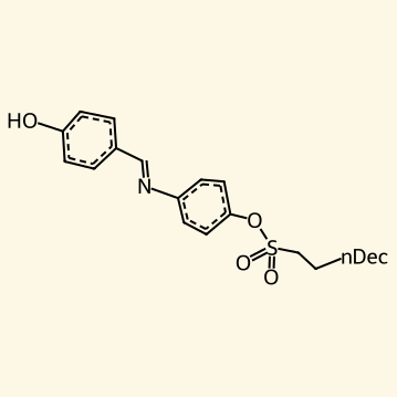 CCCCCCCCCCCCS(=O)(=O)Oc1ccc(N=Cc2ccc(O)cc2)cc1